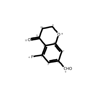 O=Cc1cc(F)c2c(c1)OCCC2=O